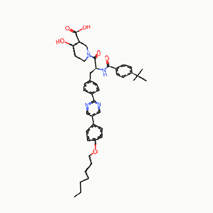 CCCCCCCOc1ccc(-c2cnc(-c3ccc(C[C@H](NC(=O)c4ccc(C(C)(C)C)cc4)C(=O)N4CCC(O)C(C(=O)O)C4)cc3)nc2)cc1